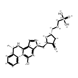 C[C@H](Nc1nc(Cl)nc2c1cnn2C[C@H]1O[C@H](COCP(=O)(O)O)CC1=O)c1ccccc1